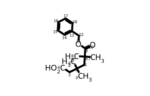 CC(C)(CC(=O)O)CC(C)(C)C(=O)OCc1ccccc1